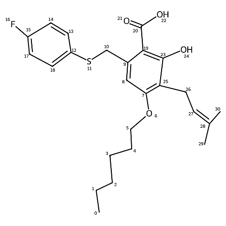 CCCCCCOc1cc(CSc2ccc(F)cc2)c(C(=O)O)c(O)c1CC=C(C)C